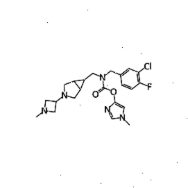 CN1CC(N2CC3C(CN(Cc4ccc(F)c(Cl)c4)C(=O)Oc4cn(C)cn4)C3C2)C1